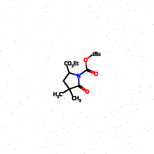 CCOC(=O)C1CC(C)(C)C(=O)N1C(=O)OC(C)(C)C